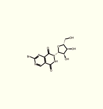 O=c1[nH]n([C@@H]2O[C@H](CO)[C@@H](O)[C@H]2O)c(=O)c2nc(Br)ncc12